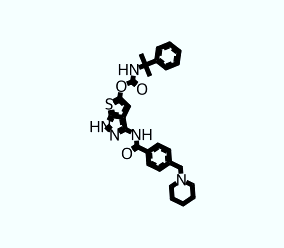 CC(C)(NC(=O)Oc1cc2c(NC(=O)c3ccc(CN4CCCCC4)cc3)n[nH]c2s1)c1ccccc1